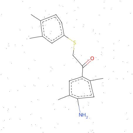 Cc1ccc(SCC(=O)c2cc(C)c(N)cc2C)cc1C